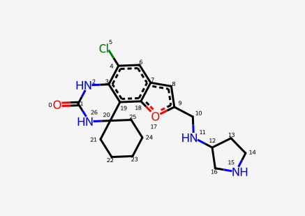 O=C1Nc2c(Cl)cc3cc(CNC4CCNC4)oc3c2C2(CCCCC2)N1